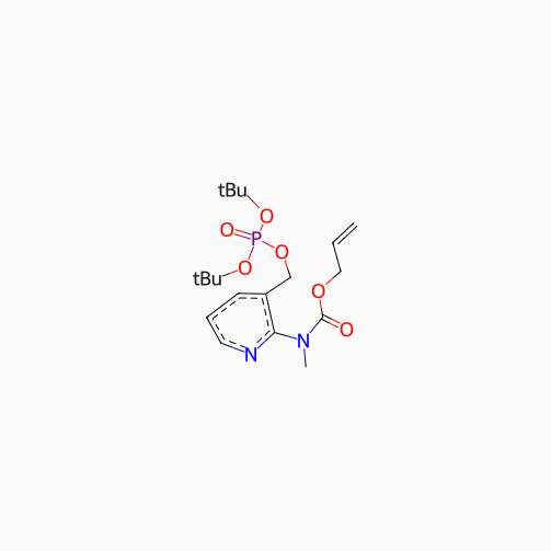 C=CCOC(=O)N(C)c1ncccc1COP(=O)(OC(C)(C)C)OC(C)(C)C